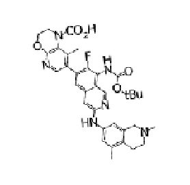 Cc1cc(Nc2cc3cc(-c4cnc5c(c4C)N(C(=O)O)CCO5)c(F)c(NC(=O)OC(C)(C)C)c3cn2)cc2c1CCN(C)C2